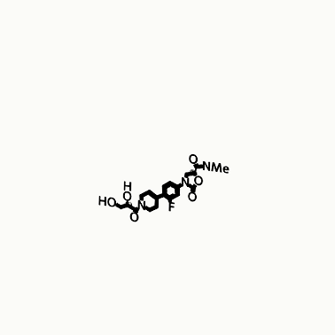 CNC(=O)[C@H]1CN(c2ccc(C3=CCN(C(=O)[C@@H](O)CO)CC3)c(F)c2)C(=O)O1